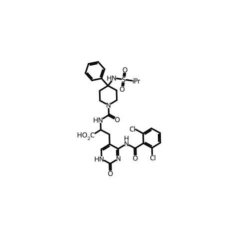 CC(C)S(=O)(=O)NC1(c2ccccc2)CCN(C(=O)NC(Cc2c[nH]c(=O)nc2NC(=O)c2c(Cl)cccc2Cl)C(=O)O)CC1